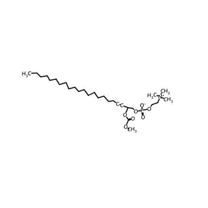 CCCCCCCCCCCCCCCCCCCCC(COP(=O)([O-])OCC[N+](C)(C)C)OC(=O)OC